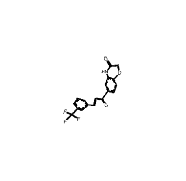 O=C1COc2ccc(C(=O)C=Cc3cccc(C(F)(F)F)c3)cc2N1